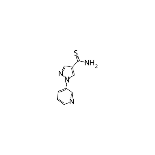 NC(=S)c1cnn(-c2cccnc2)c1